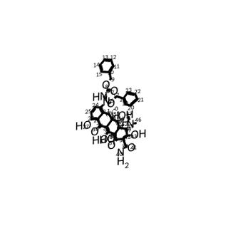 C[C@H]1c2c(N(NC(=O)OCc3ccccc3)OCc3ccccc3)ccc(O)c2C(=O)C2=C(O)[C@]3(O)C(=O)C(C(N)=O)=C(O)[C@@H](N(C)C)[C@@H]3[C@@H](O)[C@@H]21